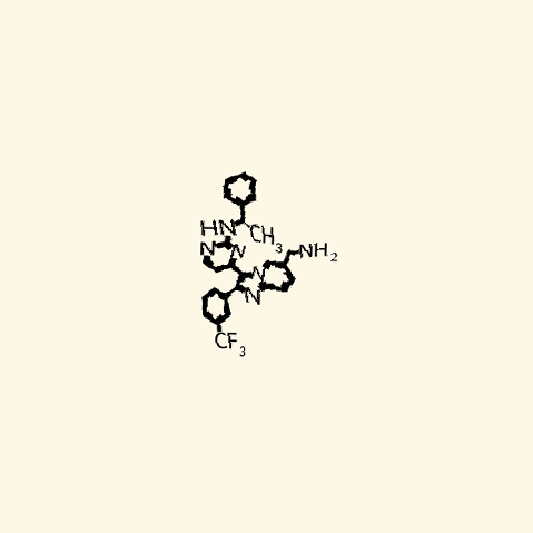 C[C@H](Nc1nccc(-c2c(-c3cccc(C(F)(F)F)c3)nc3ccc(CN)cn23)n1)c1ccccc1